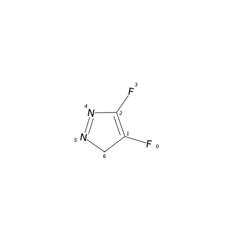 FC1=C(F)N=NC1